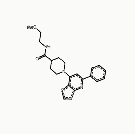 COCCNC(=O)C1CCN(c2cc(-c3ccccc3)nc3ccsc23)CC1